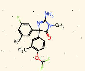 Cc1cc(C2(c3cc(F)cc(C(C)C)c3)N=C(N)N(C)C2=O)ccc1OC(F)F